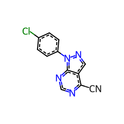 N#Cc1ncnc2c1cnn2-c1ccc(Cl)cc1